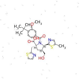 COc1cc(C(=O)N2[C@@H](c3ncc(C)s3)[C@@H](CO)C[C@@]2(Cc2nccs2)C(=O)O)ccc1C(C)(C)C